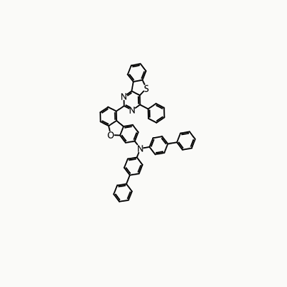 c1ccc(-c2ccc(N(c3ccc(-c4ccccc4)cc3)c3ccc4c(c3)oc3cccc(-c5nc(-c6ccccc6)c6sc7ccccc7c6n5)c34)cc2)cc1